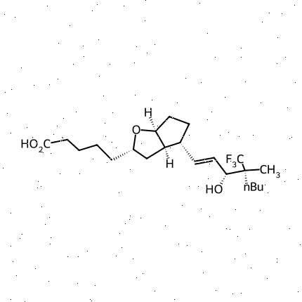 CCCC[C@](C)([C@H](O)/C=C/[C@H]1CC[C@@H]2O[C@@H](CCCCC(=O)O)C[C@@H]21)C(F)(F)F